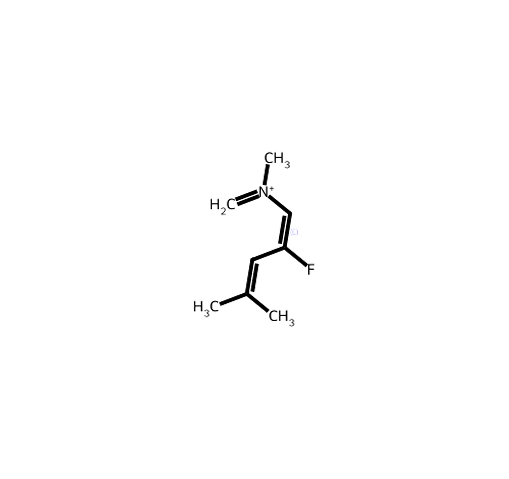 C=[N+](C)/C=C(/F)C=C(C)C